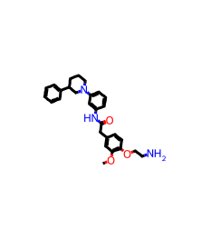 COc1cc(CC(=O)Nc2cccc(N3CCCC(c4ccccc4)C3)c2)ccc1OCCN